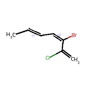 C=C(Cl)/C(Br)=C\C=C\C